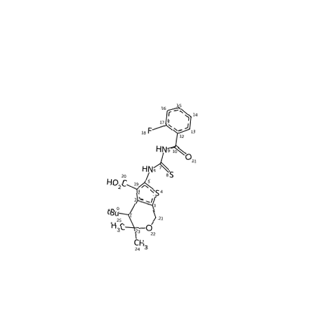 CC(C)(C)C1c2c(sc(NC(=S)NC(=O)c3ccccc3F)c2C(=O)O)COC1(C)C